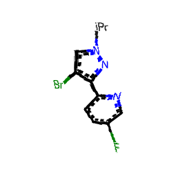 CC(C)n1cc(Br)c(-c2ccc(F)cn2)n1